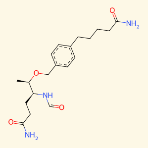 C[C@@H](OCc1ccc(CCCCC(N)=O)cc1)[C@H](CCC(N)=O)NC=O